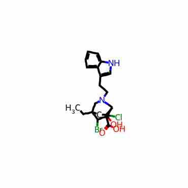 CCC12CN(CCc3c[nH]c4ccccc34)C(C(O)C1Br)C(Cl)(C(=O)O)C2